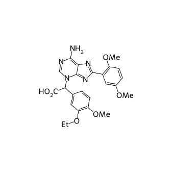 CCOc1cc(C(C(=O)O)n2cnc(N)c3nc(-c4cc(OC)ccc4OC)nc2-3)ccc1OC